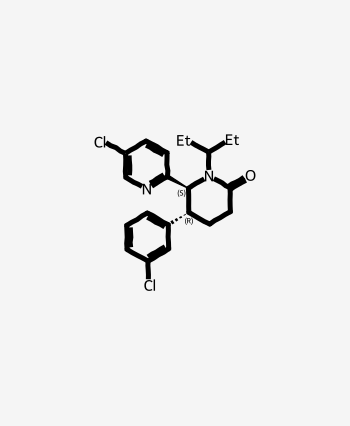 CCC(CC)N1C(=O)CC[C@H](c2cccc(Cl)c2)[C@H]1c1ccc(Cl)cn1